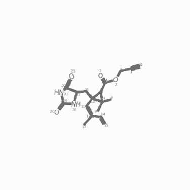 C#CCOC(=O)C1C(C)(C)C1(C=C(C)C=C)CC1NC(=O)NC1=O